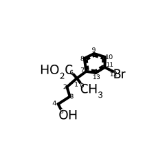 CC(CCCO)(C(=O)O)c1cccc(Br)c1